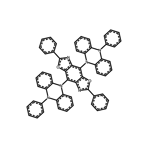 c1ccc(-c2nc3c(N4c5ccccc5N(c5ccccc5)c5ccccc54)c4oc(-c5ccccc5)nc4c(N4c5ccccc5N(c5ccccc5)c5ccccc54)c3o2)cc1